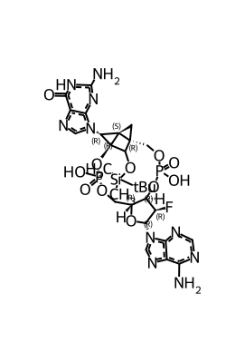 CC(C)(C)[Si](C)(C)OC1[C@@]23COP(=O)(O)O[C@H]4[C@@H](F)[C@H](n5cnc6c(N)ncnc65)O[C@@H]4COP(=O)(O)O[C@]14[C@H](n1cnc5c(=O)[nH]c(N)nc51)[C@]24C3